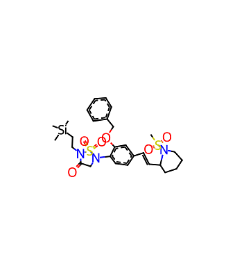 C[Si](C)(C)CCN1C(=O)CN(c2ccc(/C=C/C3CCCCN3S(C)(=O)=O)cc2OCc2ccccc2)S1(=O)=O